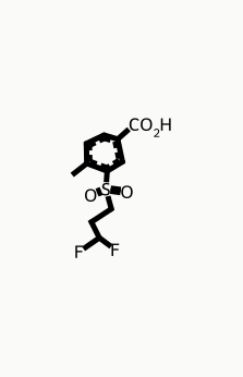 Cc1ccc(C(=O)O)cc1S(=O)(=O)CCC(F)F